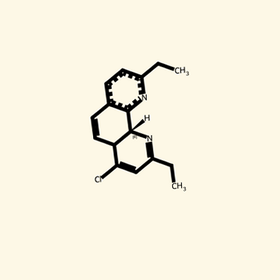 CCC1=N[C@H]2c3nc(CC)ccc3C=CC2C(Cl)=C1